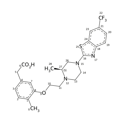 Cc1ccc(CC(=O)O)cc1OCCN1CCN(c2nc3ccc(C(F)(F)F)cc3s2)C[C@@H]1C